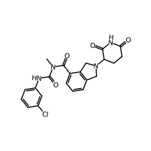 CN(C(=O)Nc1cccc(Cl)c1)C(=O)c1cccc2c1CN(C1CCC(=O)NC1=O)C2